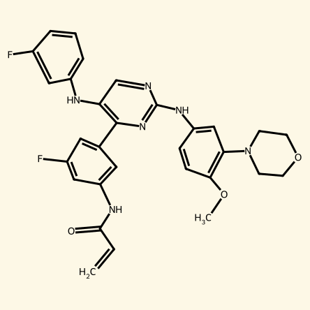 C=CC(=O)Nc1cc(F)cc(-c2nc(Nc3ccc(OC)c(N4CCOCC4)c3)ncc2Nc2cccc(F)c2)c1